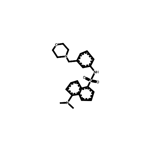 CN(C)c1cccc2c(S(=O)(=O)Nc3cccc(CN4CCOCC4)c3)cccc12